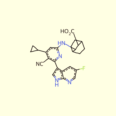 N#Cc1c(C2CC2)cc(NC2C3CCC(CC3)C2C(=O)O)nc1-c1c[nH]c2ncc(F)cc12